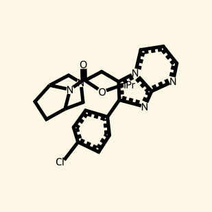 CCCOC(=O)N1C2CCC1CN(Cc1c(-c3ccc(Cl)cc3)nc3ncccn13)C2